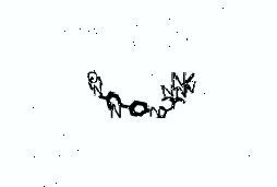 Cc1nc2nc(C)c(CC3CCN(c4ccc(-c5ccc(CN6CCOCC6)cn5)cc4)C3)c(C)n2n1